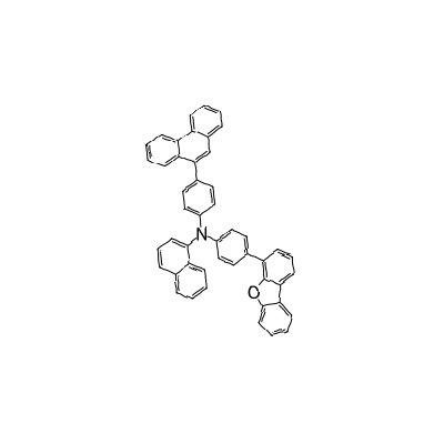 c1ccc2c(N(c3ccc(-c4cc5ccccc5c5ccccc45)cc3)c3ccc(-c4cccc5c4oc4ccccc45)cc3)cccc2c1